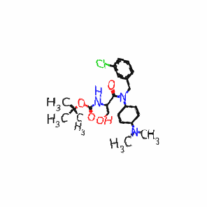 CN(C)C1CCC(N(Cc2cccc(Cl)c2)C(=O)C(CO)NC(=O)OC(C)(C)C)CC1